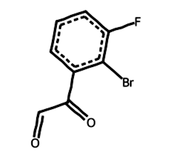 O=CC(=O)c1cccc(F)c1Br